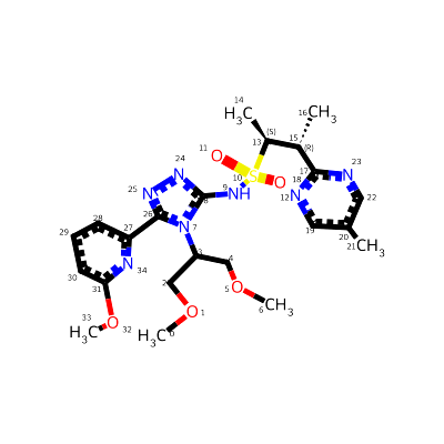 COCC(COC)n1c(NS(=O)(=O)[C@@H](C)[C@H](C)c2ncc(C)cn2)nnc1-c1cccc(OC)n1